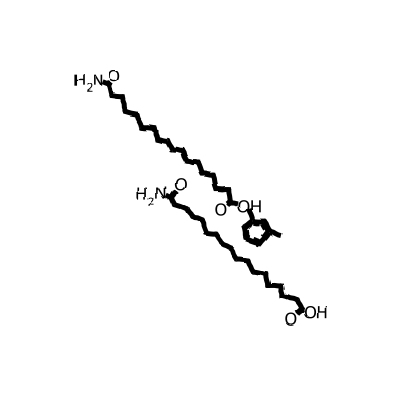 Cc1cccc(C)c1.NC(=O)CCCCCCCCCCCCCCCCC(=O)O.NC(=O)CCCCCCCCCCCCCCCCC(=O)O